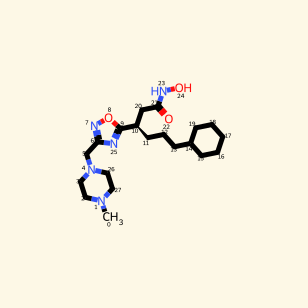 CN1CCN(Cc2noc([C@H](CCCC3CCCCC3)CC(=O)NO)n2)CC1